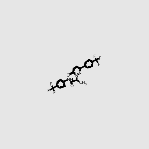 CC(C(=O)Nc1ccc(C(F)(F)F)cc1)n1nc(-c2ccc(C(F)(F)F)cc2)ccc1=O